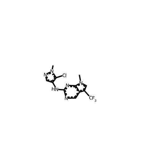 Cn1ncc(Nc2ncc3c(C(F)(F)F)cn(C)c3n2)c1Cl